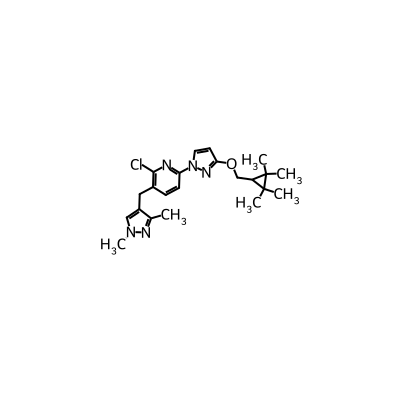 Cc1nn(C)cc1Cc1ccc(-n2ccc(OCC3C(C)(C)C3(C)C)n2)nc1Cl